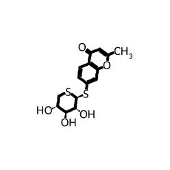 Cc1cc(=O)c2ccc(S[C@@H]3SC[C@@H](O)[C@H](O)[C@H]3O)cc2o1